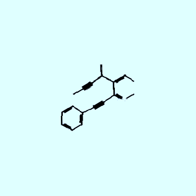 CC#CC(C)C(=C/C)/C(C#Cc1ccccc1)=N\C